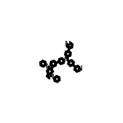 c1ccc(-n2ccc3cc4c(cc32)c2cc(-c3ccc(N(c5ccc(-c6cccnc6)cc5)c5ccc(-c6cccnc6)cc5)cc3)ccc2n4-c2ccccc2)cc1